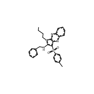 CCCCn1c(NCc2ccccc2)c(S(=O)(=O)c2ccc(C)cc2)c2nc3ccccc3nc21